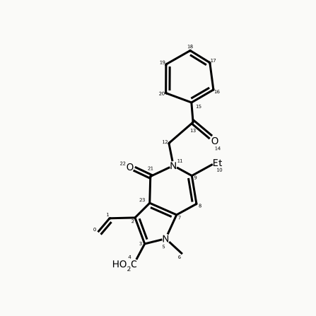 C=Cc1c(C(=O)O)n(C)c2cc(CC)n(CC(=O)c3ccccc3)c(=O)c12